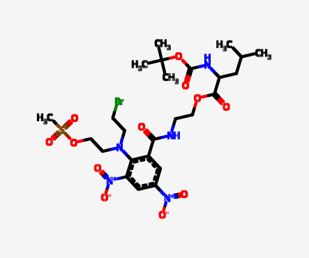 CC(C)CC(NC(=O)OC(C)(C)C)C(=O)OCCNC(=O)c1cc([N+](=O)[O-])cc([N+](=O)[O-])c1N(CCBr)CCOS(C)(=O)=O